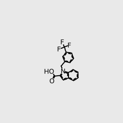 O=C(O)c1cc2ccccc2n1Cc1cccc(C(F)(F)F)c1